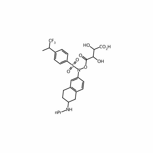 CCCNC1CCc2cc(N(OC(=O)C(O)C(O)C(=O)O)S(=O)(=O)c3ccc(C(C)C(F)(F)F)cc3)ccc2C1